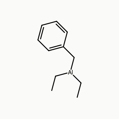 C[CH2][Al]([CH2]C)[CH2]c1ccccc1